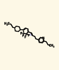 CCCc1ccc(CC/C=C/C2=CC=C(C3CCC(CCC)CC3)C(F)(F)C2(F)F)cn1